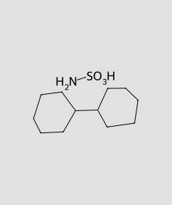 C1CCC(C2CCCCC2)CC1.NS(=O)(=O)O